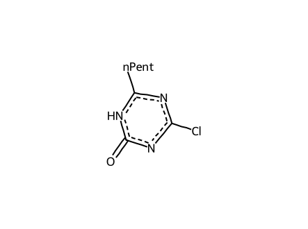 CCCCCc1nc(Cl)nc(=O)[nH]1